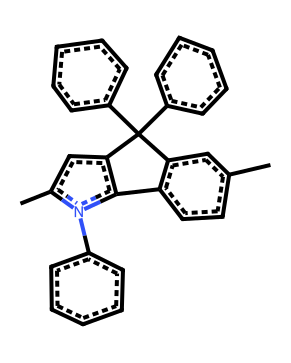 Cc1ccc2c(c1)C(c1ccccc1)(c1ccccc1)c1cc(C)n(-c3ccccc3)c1-2